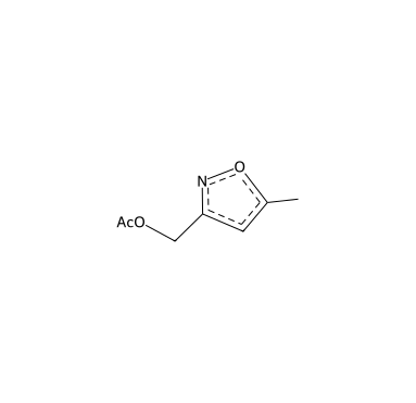 CC(=O)OCc1cc(C)on1